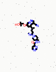 C=N/C(=C\C=C(/C)c1cc(OCC(C)(C)O)cn2ncc(C#N)c12)N1CCC(C)(NC(=O)c2ccncn2)CC1